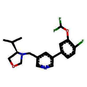 CC(C)[C@@H]1COCN1Cc1cncc(-c2ccc(F)c(OC(F)F)c2)c1